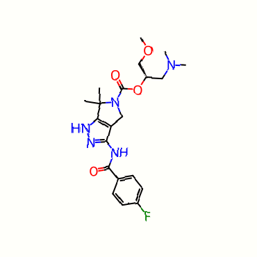 COC[C@@H](CN(C)C)OC(=O)N1Cc2c(NC(=O)c3ccc(F)cc3)n[nH]c2C1(C)C